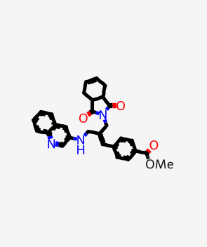 COC(=O)c1ccc(C=C(CNc2cnc3ccccc3c2)CN2C(=O)C3CC=CCC3C2=O)cc1